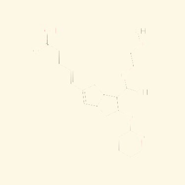 COCCOC(C)C1C(OC2CCCCO2)CC2C=C(C=CCCC(=O)O)CC21